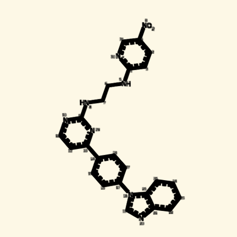 O=[N+]([O-])c1ccc(NCCNc2nccc(-c3ccc(-n4cnc5ccccc54)cc3)n2)nc1